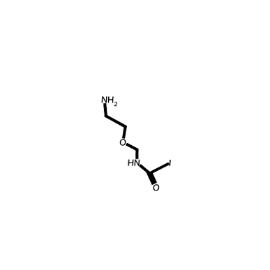 NCCOCNC(=O)I